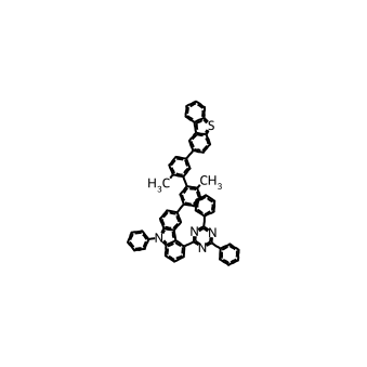 Cc1ccc(-c2ccc3sc4ccccc4c3c2)cc1-c1cc(-c2ccc3c(c2)c2c(-c4nc(-c5ccccc5)nc(-c5ccccc5)n4)cccc2n3-c2ccccc2)ccc1C